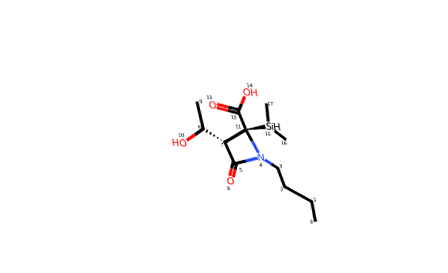 CCCCN1C(=O)[C@H](C(C)O)[C@@]1(C(=O)O)[SiH](C)C